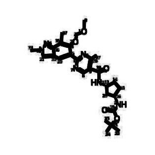 COCOc1c(-c2ncc(C(=O)N[C@H]3CC[C@@H](NC(=O)OC(C)(C)C)C3)c(C)n2)cc2cn(C)nc2c1C